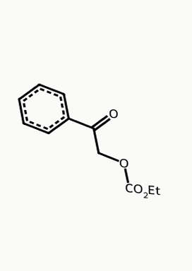 CCOC(=O)OCC(=O)c1ccccc1